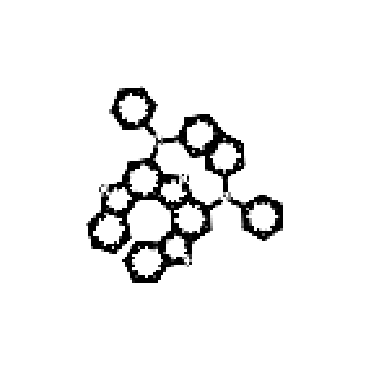 c1ccc(N(c2ccccc2)c2cc3oc4ccccc4c3c3c2oc2c(N(c4ccccc4)c4ccccc4)cc4oc5ccccc5c4c23)cc1